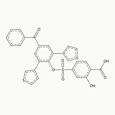 O=C(c1ccccc1)c1cc(-c2ccsc2)c(OS(=O)(=O)c2ccc(C(=O)O)c(O)c2)c(-c2ccsc2)c1